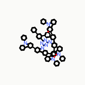 C1=CC(c2cc(-c3ccccc3)ccc2-c2nc(-n3c4cc(-c5ccc6c(c5)c5ccccc5n6-c5ccccc5)ccc4c4ccc(-c5ccc6c(c5)c5ccccc5n6-c5ccccc5)cc43)nc(-n3c4cc(-c5ccc6c(c5)c5ccccc5n6-c5ccccc5)ccc4c4ccc(-c5ccc6c(c5)c5ccccc5n6-c5ccccc5)cc43)n2)=CCC1